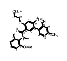 COc1cccc(C)c1N(C)C(=O)c1cc(-c2cnc(C(F)(F)F)cc2C#N)c(Cl)cc1OCCC(=O)O